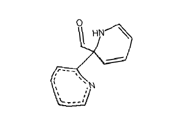 O=CC1(c2ccccn2)C=CC=CN1